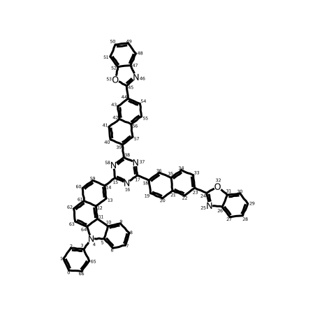 c1ccc(-n2c3ccccc3c3c4cc(-c5nc(-c6ccc7cc(-c8nc9ccccc9o8)ccc7c6)nc(-c6ccc7cc(-c8nc9ccccc9o8)ccc7c6)n5)ccc4ccc32)cc1